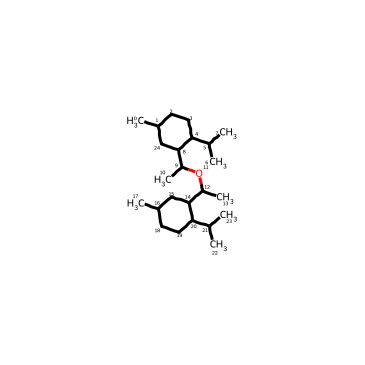 CC1CCC(C(C)C)C(C(C)OC(C)C2CC(C)CCC2C(C)C)C1